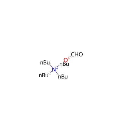 CCCC[N+](CCCC)(CCCC)CCCC.O=C[O-]